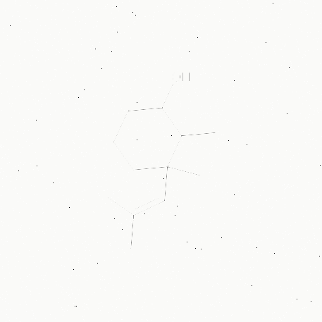 CC(C)=CC1(C)CCCC(O)C1C